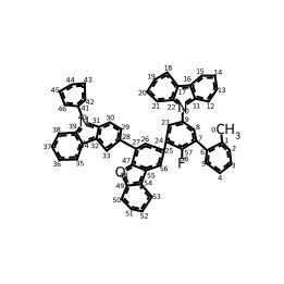 Cc1ccccc1-c1cc(-n2c3ccccc3c3ccccc32)cc(-c2cc(-c3ccc4c(c3)c3ccccc3n4-c3ccccc3)c3oc4ccccc4c3c2)c1F